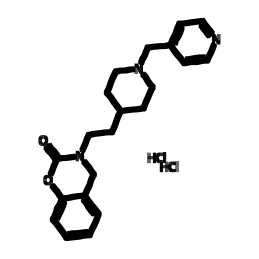 Cl.Cl.O=C1Oc2ccccc2CN1CCC1CCN(Cc2ccncc2)CC1